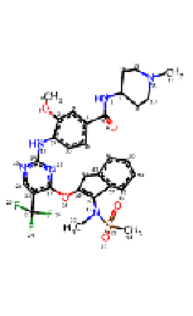 COc1cc(C(=O)NC2CCN(C)CC2)ccc1Nc1ncc(C(F)(F)F)c(OC2=C(N(C)S(C)(=O)=O)c3ccccc3C2)n1